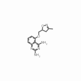 CC1=NOC(COc2cccc3nc(N)nc(N)c23)C1